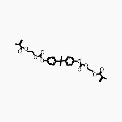 C=C(C)C(=O)OCCOC(=O)Oc1ccc(C(C)(C)c2ccc(OC(=O)OCCOC(=O)C(=C)C)cc2)cc1